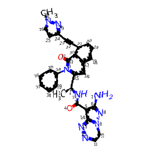 C[C@H](NC(=O)c1c(N)nn2ccnnc12)c1cc2cccc(C#Cc3ccn(C)n3)c2c(=O)n1-c1ccccc1